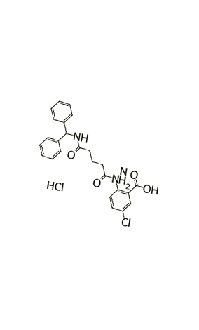 Cl.NN(C(=O)CCCC(=O)NC(c1ccccc1)c1ccccc1)c1ccc(Cl)cc1C(=O)O